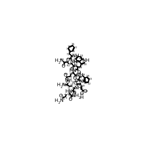 NC(=O)CC[C@H](NC(=O)[C@H](CCC(N)=O)NC(=O)[C@H](CCC(=O)O)NC(=O)[C@H](Cc1ccccc1)NC(=O)[C@H](CCC(N)=O)NC(=O)[C@H](Cc1c[nH]c2ccccc12)NC(=O)[C@H](CCC(N)=O)NC(=O)[C@@H](N)Cc1ccccc1)C(N)=O